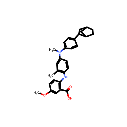 COc1ccc(Nc2ccc(N(C)c3ccc(C4CC5CCC4C5)cc3)cc2C)c(C(=O)O)c1